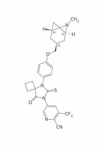 CN1[C@H]2C[C@@H](COc3ccc(N4C(=S)N(c5cnc(C#N)c(C(F)(F)F)c5)C(=O)C45CCC5)cc3)C[C@@H]3CC321